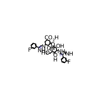 N=N/C(=C\NC1C(O)[C@H](O[C@@H]2CC(C(=O)O)CC(N/C=C(\N)c3cccc(F)c3)C2O)OC(CO)[C@@H]1O)c1cccc(F)c1